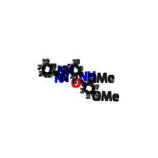 COc1ccc(C(=O)Nc2cccc(-c3nnc(-c4ccccc4)[nH]3)c2)c(OC)c1